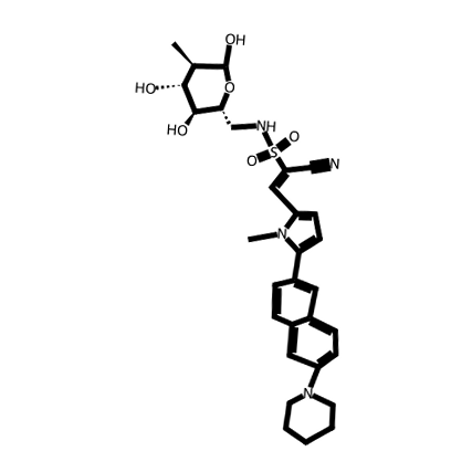 C[C@H]1C(O)O[C@H](CNS(=O)(=O)/C(C#N)=C/c2ccc(-c3ccc4cc(N5CCCCC5)ccc4c3)n2C)[C@@H](O)[C@@H]1O